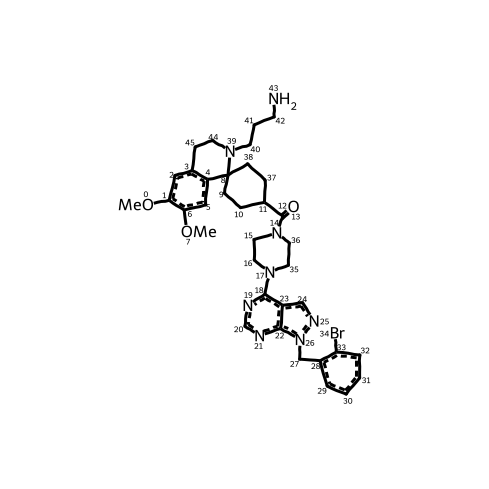 COc1cc2c(cc1OC)C1(CCC(C(=O)N3CCN(c4ncnc5c4cnn5Cc4ccccc4Br)CC3)CC1)N(CCCN)CC2